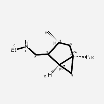 CCNCC1[C@H](C)C[C@H]2C[C@@H]12